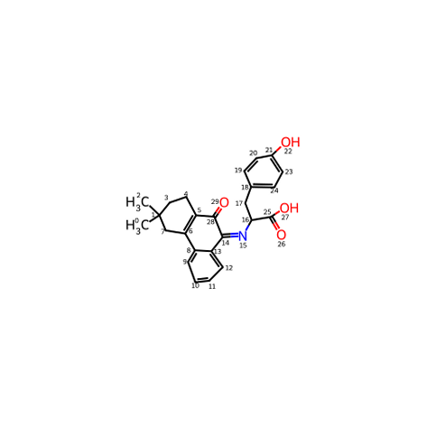 CC1(C)CCC2=C(C1)c1ccccc1/C(=N/C(Cc1ccc(O)cc1)C(=O)O)C2=O